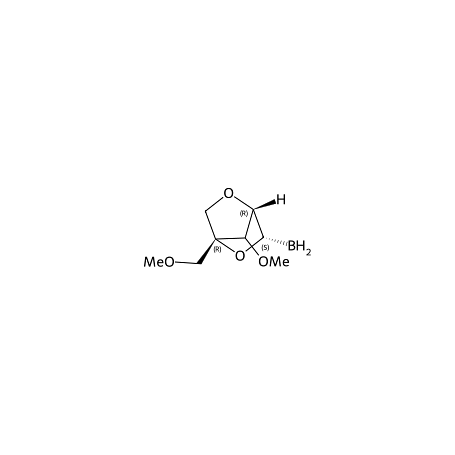 B[C@@H]1O[C@]2(COC)CO[C@H]1C2OC